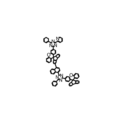 C1=CCCC(c2nc(-c3ccc4c(c3)Oc3ccccc3C43c4ccc(-c5ccc(-c6nc(-c7ccccc7)nc(-c7ccc8c(c7)Oc7ccccc7C87c8ccccc8C8C=CC=CC87)n6)c6ccccc56)cc4C4C=CC=CC43)nc(-c3ccccn3)n2)=C1